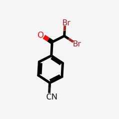 N#Cc1ccc(C(=O)C(Br)Br)cc1